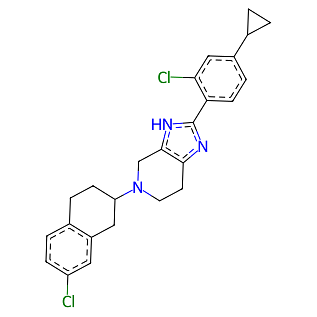 Clc1ccc2c(c1)CC(N1CCc3nc(-c4ccc(C5CC5)cc4Cl)[nH]c3C1)CC2